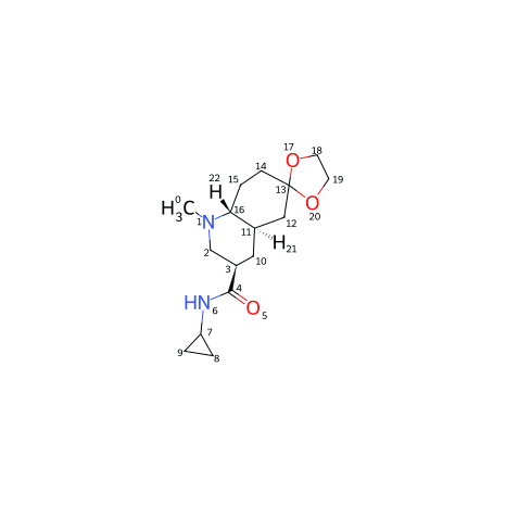 CN1C[C@H](C(=O)NC2CC2)C[C@@H]2CC3(CC[C@H]21)OCCO3